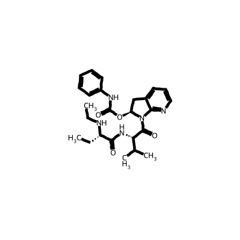 CCN[C@@H](CC)C(=O)N[C@H](C(=O)N1c2ncccc2C[C@@H]1OC(=O)Nc1ccccc1)C(C)C